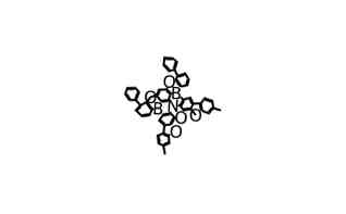 Cc1ccc2c(c1)oc1c3c4c(cc12)B1c2cccc(-c5ccccc5)c2Oc2cc5c6c(c21)N4c1c(cc2c(oc4cc(C)ccc42)c1O3)B6c1cccc(-c2ccccc2)c1O5